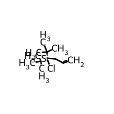 C=CC[Si](Cl)(C(C)(C)C)C(C)(C)C